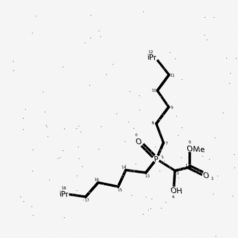 COC(=O)C(O)P(=O)(CCCCCC(C)C)CCCCCC(C)C